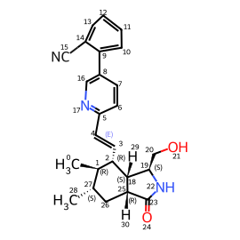 C[C@H]1[C@H](/C=C/c2ccc(-c3ccccc3C#N)cn2)[C@@H]2[C@@H](CO)NC(=O)[C@@H]2C[C@@H]1C